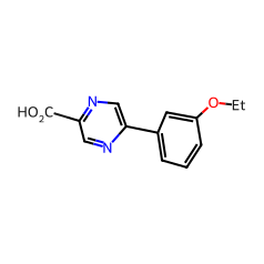 CCOc1cccc(-c2cnc(C(=O)O)cn2)c1